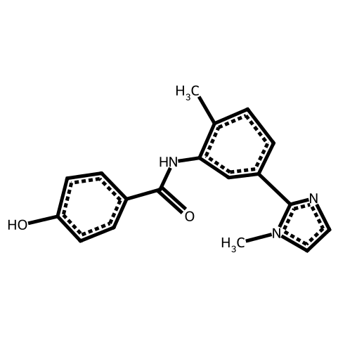 Cc1ccc(-c2nccn2C)cc1NC(=O)c1ccc(O)cc1